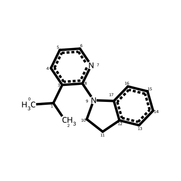 CC(C)c1cccnc1N1CCc2ccccc21